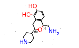 NC[C@H]1O[C@@H](C2CCNCC2)Cc2c1ccc(O)c2O